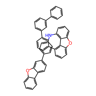 c1ccc(-c2cccc(-c3cccc(-c4cccc5oc6cccc(Nc7ccc(-c8ccc9c(c8)oc8ccccc89)cc7)c6c45)c3)c2)cc1